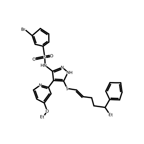 CCOc1ccnc(-c2c(NS(=O)(=O)c3cccc(Br)c3)n[nH]c2SC=CCCC(CC)c2ccccc2)c1